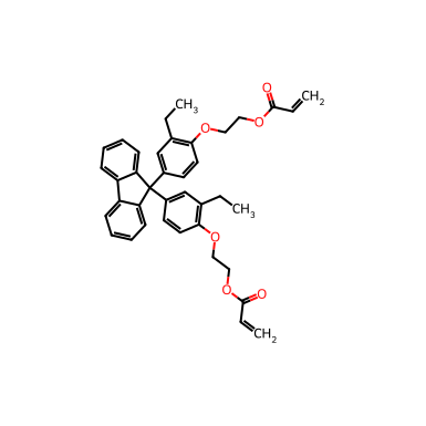 C=CC(=O)OCCOc1ccc(C2(c3ccc(OCCOC(=O)C=C)c(CC)c3)c3ccccc3-c3ccccc32)cc1CC